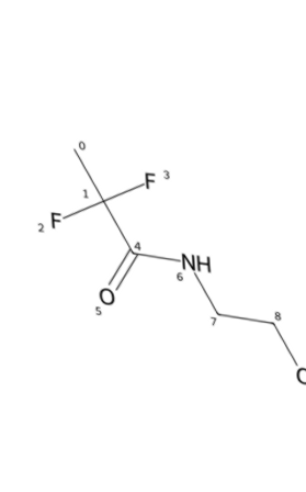 CC(F)(F)C(=O)NCCCl